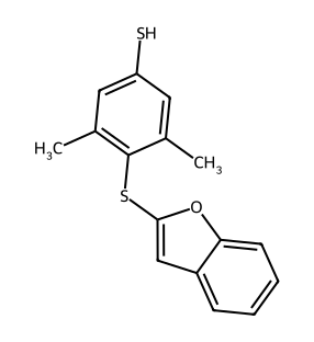 Cc1cc(S)cc(C)c1Sc1cc2ccccc2o1